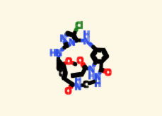 C=CC(=O)Nc1cc2ccc1C(=O)NCCNC(=O)c1ccc(c(OC)c1)Nc1ncc(Cl)c(n1)N2